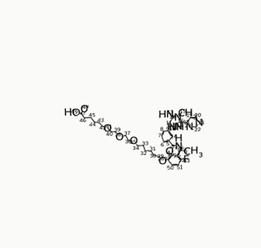 C[C@@H](NC(=O)c1cccc(NCC(=N)N(C)C(=N)c2ccncn2)c1)c1cc(OCCCCCCOCCOCCOCCCCCC(=O)O)ccc1F